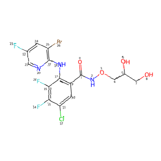 O=C(NOCC(O)CO)c1cc(Cl)c(F)c(F)c1Nc1ncc(F)cc1Br